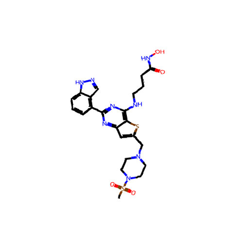 CS(=O)(=O)N1CCN(Cc2cc3nc(-c4cccc5[nH]ncc45)nc(NCCCC(=O)NO)c3s2)CC1